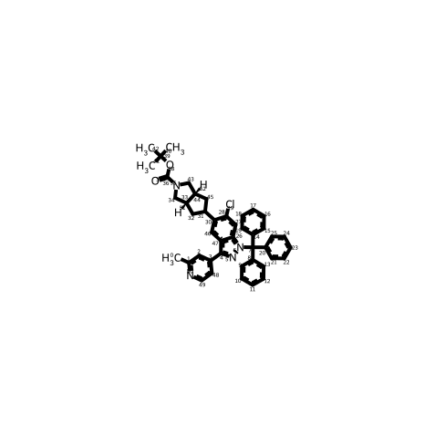 Cc1cc(-c2nn(C(c3ccccc3)(c3ccccc3)c3ccccc3)c3cc(Cl)c(C4C[C@@H]5CN(C(=O)OC(C)(C)C)C[C@@H]5C4)cc23)ccn1